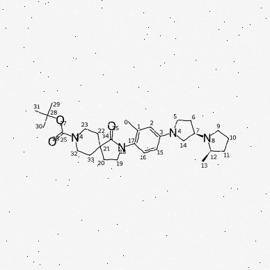 Cc1cc(N2CC[C@@H](N3CCC[C@H]3C)C2)ccc1N1CCC2(CCN(C(=O)OC(C)(C)C)CC2)C1=O